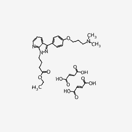 CCOC(=O)CCCn1nc(-c2ccc(OCCCN(C)C)cc2)c2cccnc21.O=C(O)/C=C/C(=O)O.O=C(O)/C=C/C(=O)O